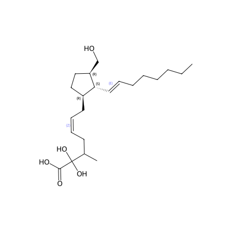 CCCCCC/C=C/[C@H]1[C@H](CO)CC[C@@H]1C/C=C\CC(C)C(O)(O)C(=O)O